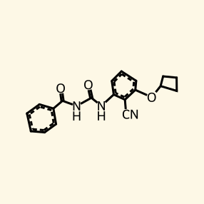 N#Cc1c(NC(=O)NC(=O)c2ccccc2)cccc1OC1CCC1